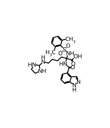 Cc1cccc(C)c1S(=O)(=O)NC(CCCCNC1NCCN1)(NC(=O)c1cccc2[nH]ncc12)C(=O)O